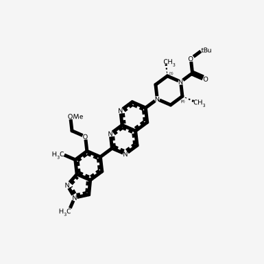 COCOc1c(-c2ncc3cc(N4C[C@@H](C)N(C(=O)OC(C)(C)C)[C@@H](C)C4)cnc3n2)cc2cn(C)nc2c1C